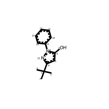 CC(C)(C)c1cc(O)n(-c2ccccc2)n1